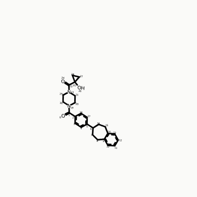 O=C(c1ccc(C2CCc3ccccc3CC2)cc1)N1CCN(C(=O)C2(O)CC2)CC1